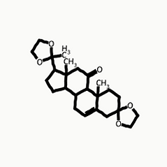 CC1(C2CCC3C4CC=C5CC6(CCC5(C)C4C(=O)CC32C)OCCO6)OCCO1